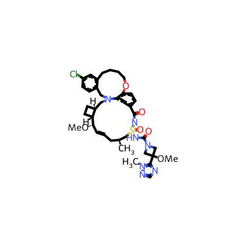 CO[C@H]1/C=C/C[C@H](C)CS(=O)(NC(=O)N2CC(OC)(c3ncnn3C)C2)=NC(=O)c2ccc3c(c2)N(Cc2ccc(Cl)cc2CCCCO3)C[C@@H]2CC[C@H]21